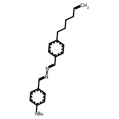 C=CCCCCc1ccc(/C=N/N=C/c2ccc(CCCC)cc2)cc1